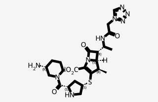 CC(NC(=O)Cn1cnnn1)[C@H]1C(=O)N2C(C(=O)O)=C(S[C@@H]3CN[C@H](C(=O)N4CCC[C@@H](N)C4)C3)[C@H](C)[C@H]12